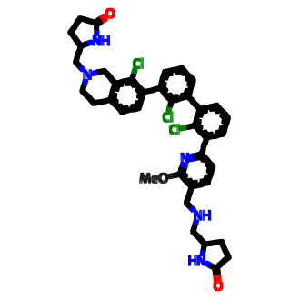 COc1nc(-c2cccc(-c3cccc(-c4ccc5c(c4Cl)CN(CC4CCC(=O)N4)CC5)c3Cl)c2Cl)ccc1CNCC1CCC(=O)N1